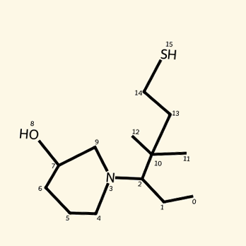 CCC(N1CCCC(O)C1)C(C)(C)CCS